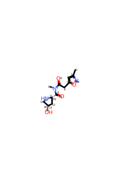 Cc1cc(CC(=O)N(C)C(=O)[C@@H]2C[C@@H](O)CN2)on1